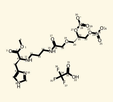 COC(=O)[C@H](Cc1c[nH]cn1)NCCCNC(=O)COC[C@@H](CO[N+](=O)[O-])O[N+](=O)[O-].O=C(O)C(F)(F)F